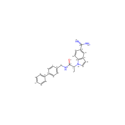 CC(C(=O)NCc1ccc(-c2ccccc2)cc1)n1ccc2cc(C(=N)N)ccc21